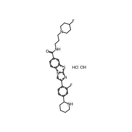 Cl.Cl.O=C(NCCCN1CCC(F)CC1)c1ccc2c(c1)sc1nc(-c3ccc(C4CCCCN4)cc3F)cn12